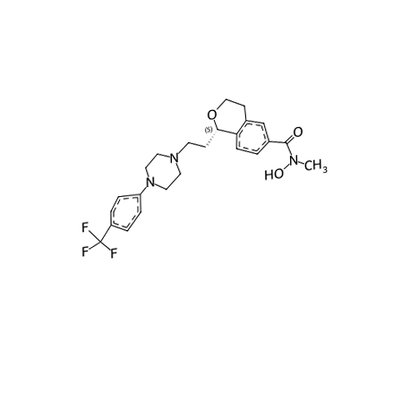 CN(O)C(=O)c1ccc2c(c1)CCO[C@H]2CCN1CCN(c2ccc(C(F)(F)F)cc2)CC1